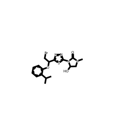 CC(C)c1ccccc1OC(CBr)c1nnc(N2C(=O)N(C)CC2O)s1